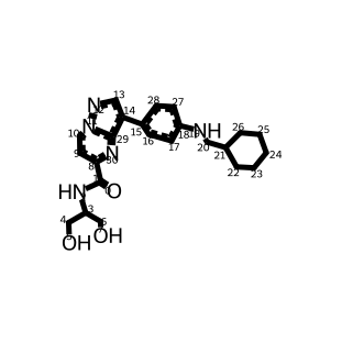 O=C(NC(CO)CO)c1ccn2ncc(-c3ccc(NCC4CCCCC4)cc3)c2n1